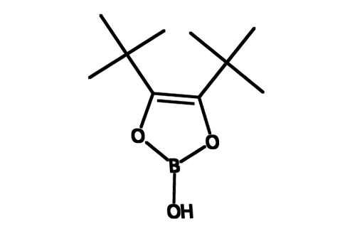 CC(C)(C)C1=C(C(C)(C)C)OB(O)O1